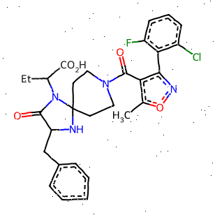 CCC(C(=O)O)N1C(=O)C(Cc2ccccc2)NC12CCN(C(=O)c1c(-c3c(F)cccc3Cl)noc1C)CC2